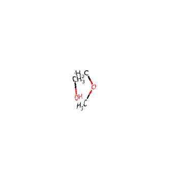 CO.[CH2]OC